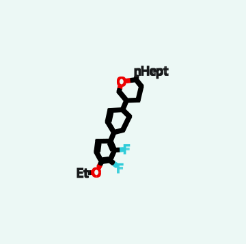 CCCCCCCC1CCC(C2C=CC(c3ccc(OCC)c(F)c3F)CC2)CO1